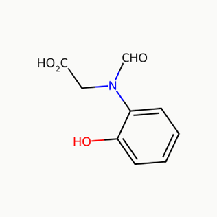 O=CN(CC(=O)O)c1ccccc1O